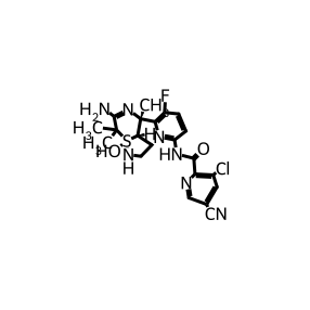 CC1(C)C(N)=N[C@](C)(c2nc(NC(=O)c3ncc(C#N)cc3Cl)ccc2F)[C@@H]2CCNS21O